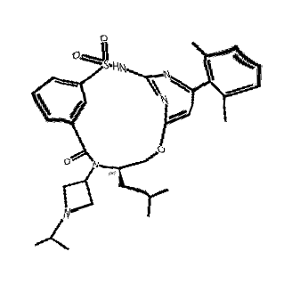 Cc1cccc(C)c1-c1cc2nc(n1)NS(=O)(=O)c1cccc(c1)C(=O)N(C1CN(C(C)C)C1)[C@H](CC(C)C)CO2